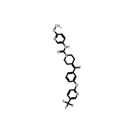 COc1ccc(NC(=O)N2CCC(=C(F)c3cccc(Oc4ccc(C(F)(F)F)cn4)c3)CC2)cn1